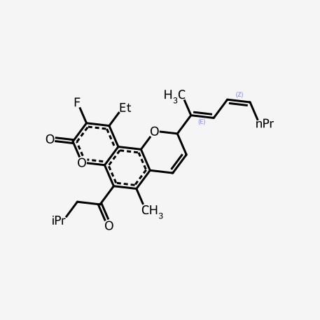 CCC/C=C\C=C(/C)C1C=Cc2c(C)c(C(=O)CC(C)C)c3oc(=O)c(F)c(CC)c3c2O1